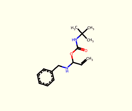 C=CC(NCc1ccccc1)OC(=O)NC(C)(C)C